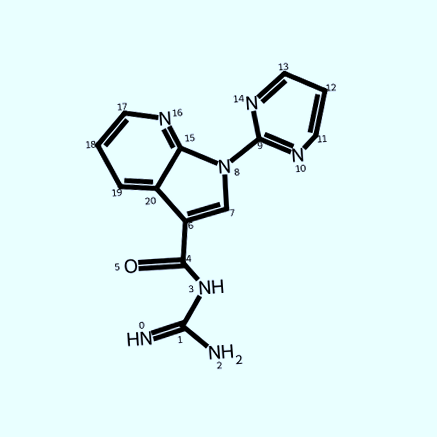 N=C(N)NC(=O)c1cn(-c2ncccn2)c2ncccc12